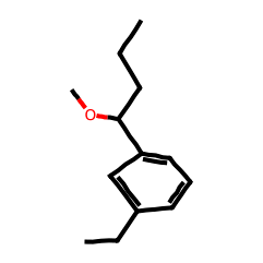 CCCC(OC)c1cccc(CC)c1